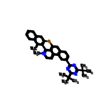 Cc1c2c(cc3ccccc13)Sc1cc3ccc(-c4nc(C(C)(C)C)nc(C(C)(C)C)n4)cc3c3cc[n+](C)c-2c13